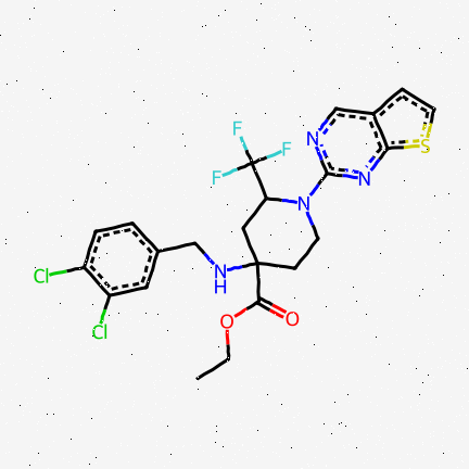 CCOC(=O)C1(NCc2ccc(Cl)c(Cl)c2)CCN(c2ncc3ccsc3n2)C(C(F)(F)F)C1